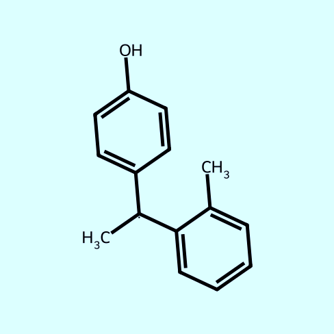 C[C](c1ccc(O)cc1)c1ccccc1C